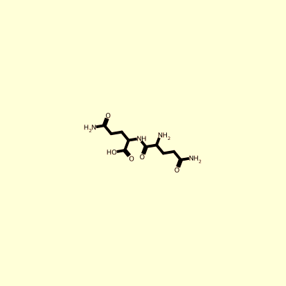 NC(=O)CCC(N)C(=O)NC(CCC(N)=O)C(=O)O